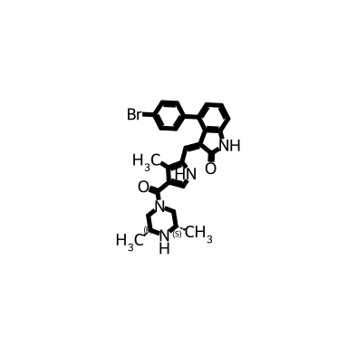 Cc1c(C(=O)N2C[C@@H](C)N[C@@H](C)C2)c[nH]c1C=C1C(=O)Nc2cccc(-c3ccc(Br)cc3)c21